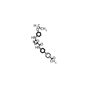 CC(=O)N1CCN(c2ccc(NC(=O)c3nnc(Nc4cccc(OC(C)C)c4)o3)cc2)CC1